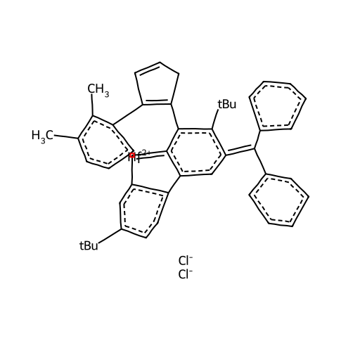 Cc1cccc(C2=C(c3c(C(C)(C)C)c(=C(c4ccccc4)c4ccccc4)cc4c3=[C]([Hf+2])c3cc(C(C)(C)C)ccc3-4)CC=C2)c1C.[Cl-].[Cl-]